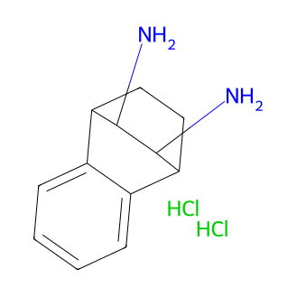 Cl.Cl.NC1C2CCC(c3ccccc32)C1N